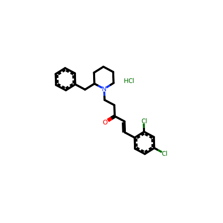 Cl.O=C(C=Cc1ccc(Cl)cc1Cl)CCN1CCCCC1Cc1ccccc1